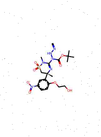 C=NNN(C(=O)OC(C)(C)C)C1=N[C@](C)(c2cc([N+](=O)[O-])ccc2OCCO)CS(=O)(=O)N1C